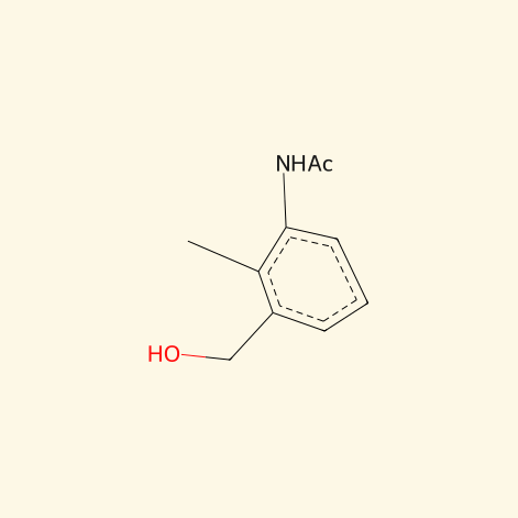 CC(=O)Nc1cccc(CO)c1C